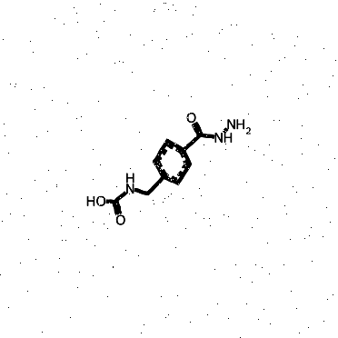 NNC(=O)c1ccc(CNC(=O)O)cc1